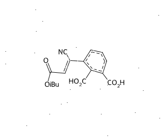 CC(C)COC(=O)C=C(C#N)c1cccc(C(=O)O)c1C(=O)O